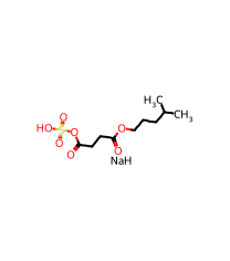 CC(C)CCCOC(=O)CCC(=O)OS(=O)(=O)O.[NaH]